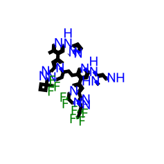 CN/C(=C\C=N)Nc1cc(-c2cc3n(c2)CC(F)(F)Cn2c-3nnc2C(F)(F)C(F)F)c(CCC2CCn3c(nnc3C3(C(F)(F)F)CCC3)-c3cc(-c4cc(Nc5ccnn5C)ncc4C)cn32)cn1